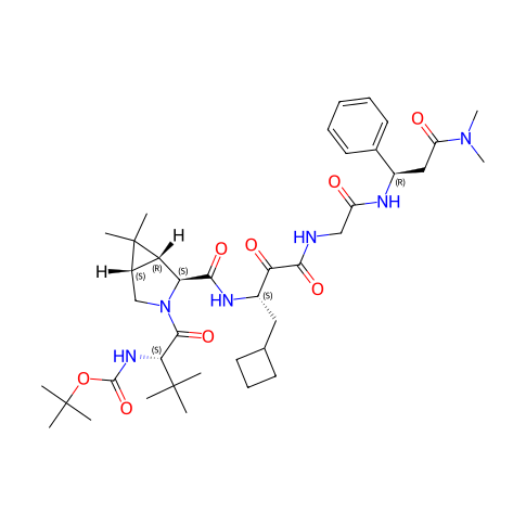 CN(C)C(=O)C[C@@H](NC(=O)CNC(=O)C(=O)[C@H](CC1CCC1)NC(=O)[C@@H]1[C@@H]2[C@H](CN1C(=O)[C@@H](NC(=O)OC(C)(C)C)C(C)(C)C)C2(C)C)c1ccccc1